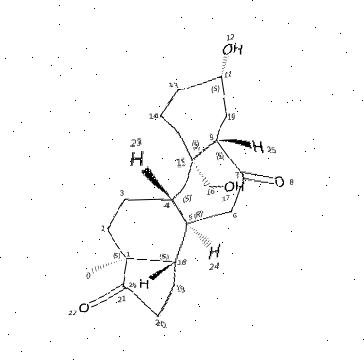 C[C@]12CC[C@H]3[C@@H](CC(=O)[C@H]4C[C@@H](O)CC[C@@]43CO)[C@@H]1CCC2=O